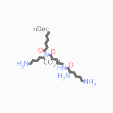 CCCCCCCCCCCCCCCC(=O)N(C(=O)CCCCNC(=O)[C@@H](N)CCCCN)[C@@H](CCCCN)C(=O)O